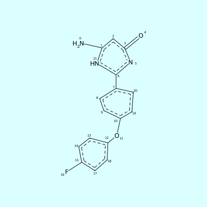 Nc1cc(=O)nc(-c2ccc(Oc3ccc(F)cc3)cc2)[nH]1